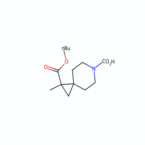 CCCCOC(=O)C1(C)CC12CCN(C(=O)O)CC2